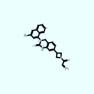 C=CC(=O)N1CC(c2ccc3c(c2)NC(=O)N(c2cc(O)cc4ccccc24)C3)C1